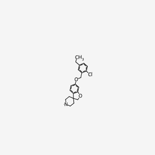 CCc1ccc(Cl)c(COc2ccc3c(c2)OCC32CC[N]CC2)c1